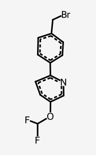 FC(F)Oc1ccc(-c2ccc(CBr)cc2)nc1